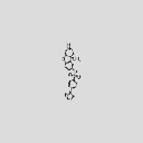 CC12CCNCC1Oc1ccc(OS(=O)(=O)c3ccc(-n4cccn4)cc3)cc12